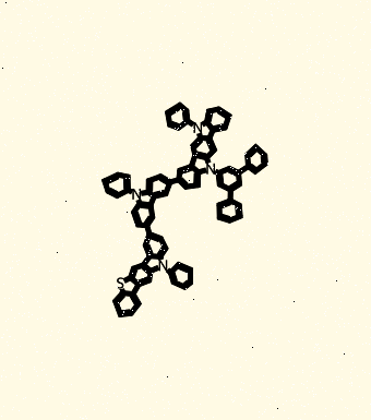 c1ccc(-c2cc(-c3ccccc3)cc(-n3c4ccc(-c5ccc6c(c5)c5cc(-c7ccc8c(c7)c7cc9sc%10ccccc%10c9cc7n8-c7ccccc7)ccc5n6-c5ccccc5)cc4c4cc5c(cc43)c3ccccc3n5-c3ccccc3)c2)cc1